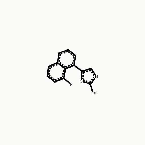 CC(C)c1ncc(-c2cccc3cccc(F)c23)s1